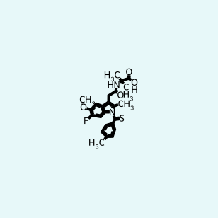 COc1cc2c(CC(=O)NC(C)(C)C(=O)O)c(C)n(C(=S)c3ccc(C)cc3)c2cc1F